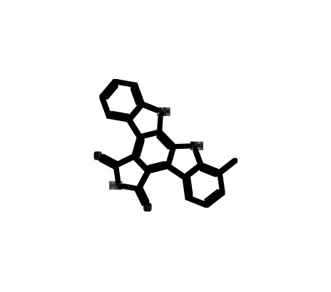 Cc1cccc2c1[nH]c1c3[nH]c4ccccc4c3c3c(c21)C(=O)NC3=O